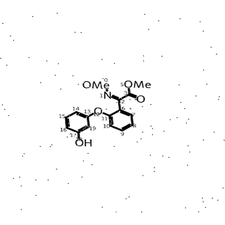 CON=C(C(=O)OC)c1ccccc1Oc1cccc(O)c1